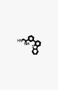 N=CC(=N)c1cccc(-c2cccc3c2SC2C=CC=CC32)c1